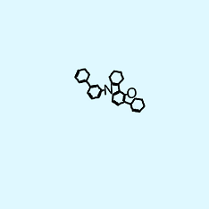 C1=CCCC(c2cccc(-n3c4c(c5c6c(ccc53)C3C=CCCC3O6)CCCC4)c2)=C1